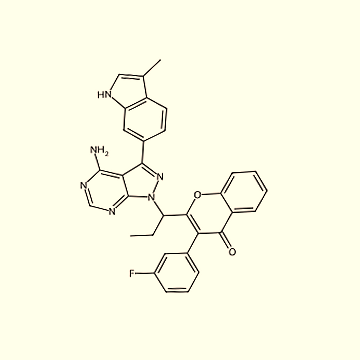 CCC(c1oc2ccccc2c(=O)c1-c1cccc(F)c1)n1nc(-c2ccc3c(C)c[nH]c3c2)c2c(N)ncnc21